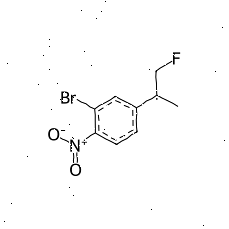 C[C](CF)c1ccc([N+](=O)[O-])c(Br)c1